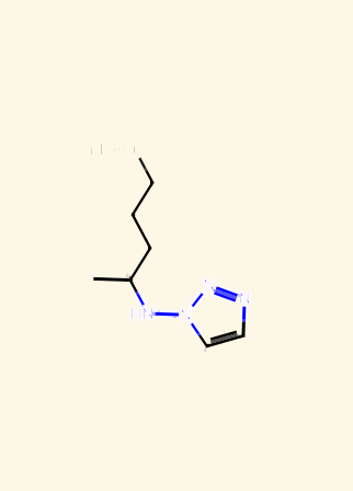 CCCCCCC[CH]CCC(C)Nn1ccnn1